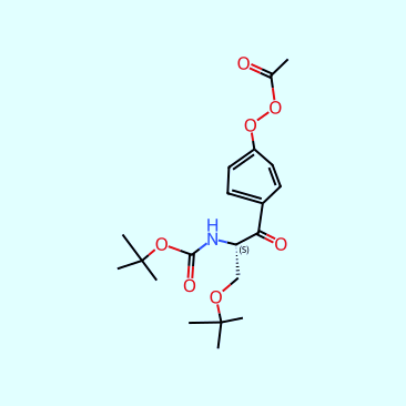 CC(=O)OOc1ccc(C(=O)[C@H](COC(C)(C)C)NC(=O)OC(C)(C)C)cc1